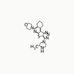 CC1CN(c2nnnc3c2sc2nc(N4CCOCC4)c4c(c23)CCCC4)CCN1